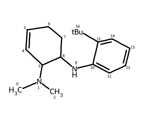 CN(C)C1C=CCCC1Nc1ccccc1C(C)(C)C